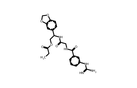 CCC(=O)OCC(NC(=O)CNC(=O)c1cccc(NC(=N)N)c1)c1ccc2c(c1)OCO2